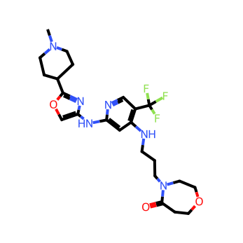 CN1CCC(c2nc(Nc3cc(NCCCN4CCOCCC4=O)c(C(F)(F)F)cn3)co2)CC1